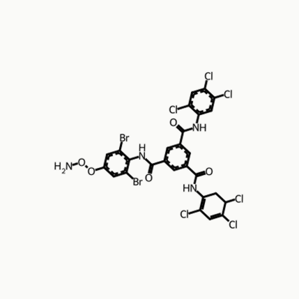 NOOc1cc(Br)c(NC(=O)c2cc(C(=O)NC3=C(Cl)C=C(Cl)C(Cl)C3)cc(C(=O)Nc3cc(Cl)c(Cl)cc3Cl)c2)c(Br)c1